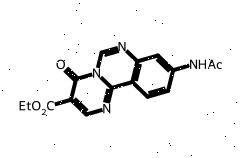 CCOC(=O)c1cnc2c3ccc(NC(C)=O)cc3ncn2c1=O